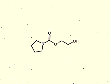 O=C(OCCO)N1CCCC1